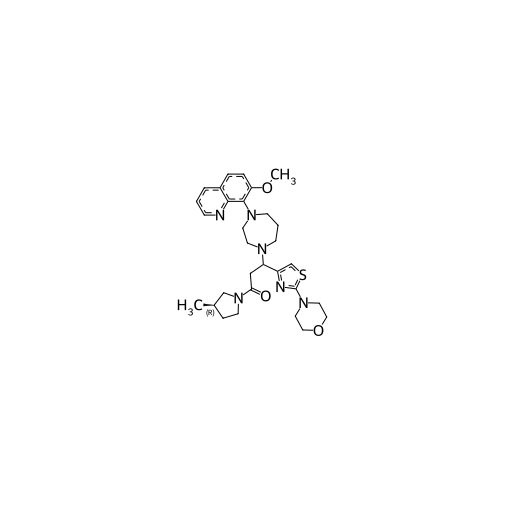 COc1ccc2cccnc2c1N1CCCN(C(CC(=O)N2CC[C@@H](C)C2)c2csc(N3CCOCC3)n2)CC1